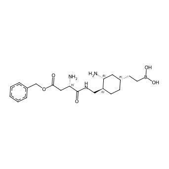 N[C@@H]1C[C@H](CCB(O)O)CC[C@H]1CNC(=O)[C@@H](N)CC(=O)OCc1ccccc1